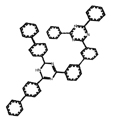 c1ccc(-c2ccc(C3=NC(c4cccc(-c5cccc(-c6nc(-c7ccccc7)nc(-c7ccccc7)n6)c5)c4)=NC(c4ccc(-c5ccccc5)cc4)N3)cc2)cc1